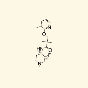 Cc1cccnc1OCC(C)(C)C(=O)N[C@H]1CCN(C)C[C@@H]1F